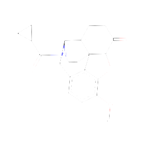 COc1ccc2c3c1OC1C(=O)CC[C@@H]4[C@H](C2)N(C(=O)C2CC2)CCC314